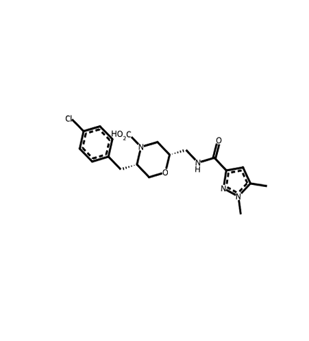 Cc1cc(C(=O)NC[C@H]2CN(C(=O)O)[C@@H](Cc3ccc(Cl)cc3)CO2)nn1C